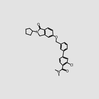 CN(C)C(=O)c1ccc(-c2cccc(COc3ccc4c(c3)CN(C3CCCC3)C4=O)c2)cc1Cl